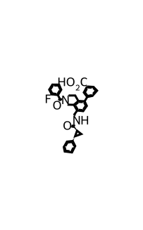 O=C(O)c1cccc(-c2ccc(CNC(=O)[C@H]3C[C@@H]3c3ccccc3)c3c2CCN(C(=O)c2ccccc2F)C3)c1